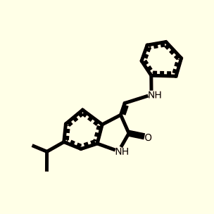 CC(C)c1ccc2c(c1)NC(=O)C2=CNc1ccccc1